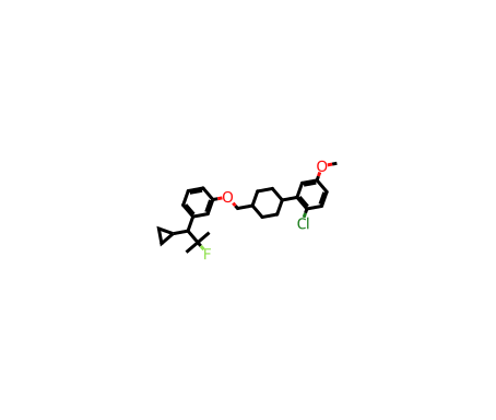 COc1ccc(Cl)c(C2CCC(COc3cccc(C(C4CC4)C(C)(C)F)c3)CC2)c1